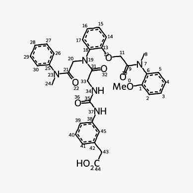 COc1ccccc1N(C)C(=O)COc1ccccc1N(CC(=O)N(C)c1ccccc1)C(=O)CNC(=O)Nc1cccc(CC(=O)O)c1